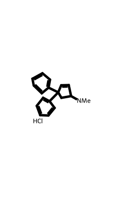 CNC1C=CC(c2ccccc2)(c2ccccc2)C1.Cl